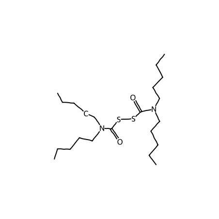 CCCCCN(CCCCC)C(=O)SSC(=O)N(CCCCC)CCCCC